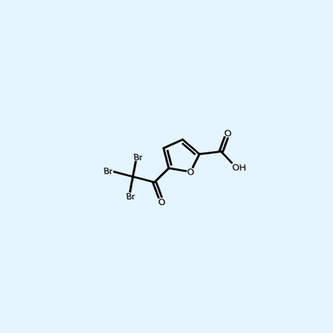 O=C(O)c1ccc(C(=O)C(Br)(Br)Br)o1